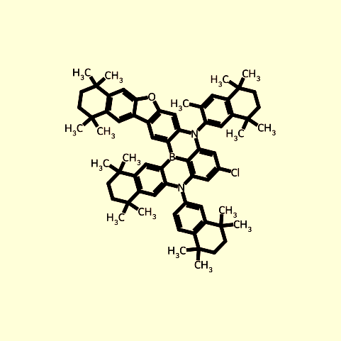 Cc1cc2c(cc1N1c3cc4oc5cc6c(cc5c4cc3B3c4cc5c(cc4N(c4ccc7c(c4)C(C)(C)CCC7(C)C)c4cc(Cl)cc1c43)C(C)(C)CCC5(C)C)C(C)(C)CCC6(C)C)C(C)(C)CCC2(C)C